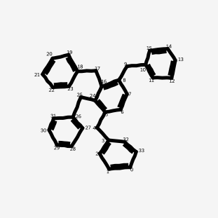 c1ccc(Cc2ccc(Cc3ccccc3)c(Cc3ccccc3)c2Cc2ccccc2)cc1